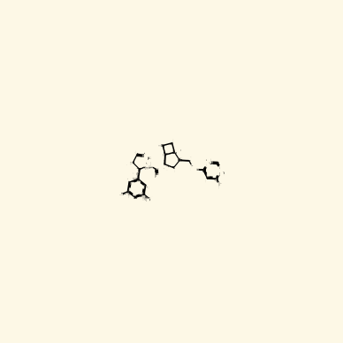 O=C([C@H]1CC(COc2cc(Cl)ncn2)C2CCC21)N1N=CCC1c1cc(F)cc(F)c1